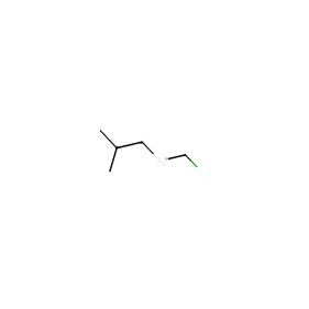 CC(C)[CH2][Al][CH2]Cl